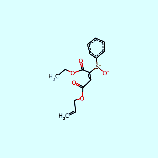 C=CCOC(=O)/C=C(\C(=O)OCC)[S+]([O-])c1ccccc1